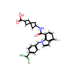 O=C(NC1CC2(C1)CC(C(=O)O)C2)c1ccc(F)c2ccn(Cc3ccc(C(F)F)cc3)c12